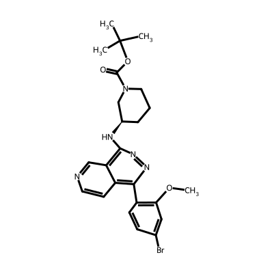 COc1cc(Br)ccc1-c1nnc(N[C@@H]2CCCN(C(=O)OC(C)(C)C)C2)c2cnccc12